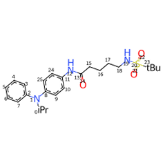 CC(C)N(c1ccccc1)c1ccc(NC(=O)CCCCNS(=O)(=O)C(C)(C)C)cc1